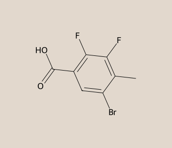 Cc1c(Br)cc(C(=O)O)c(F)c1F